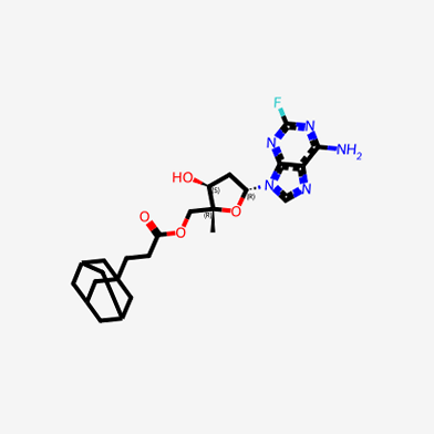 C[C@]1(COC(=O)CCC23CC4CC(CC(C4)C2)C3)O[C@@H](n2cnc3c(N)nc(F)nc32)C[C@@H]1O